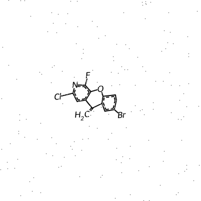 C=C1c2cc(Br)ccc2Oc2c1cc(Cl)nc2F